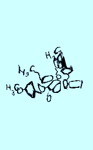 CCCCO[C@@H]1[C@@H](OCCCC)[C@H](c2ccc(Cl)c(Cc3ccc(OCC)cc3)c2)O[C@H](C=O)[C@H]1OCc1ccc(OC)cc1